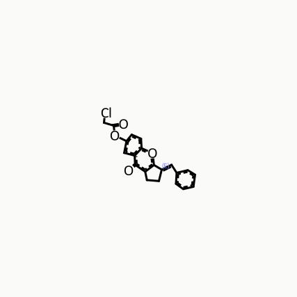 O=C(CCl)Oc1ccc2oc3c(c(=O)c2c1)CC/C3=C\c1ccccc1